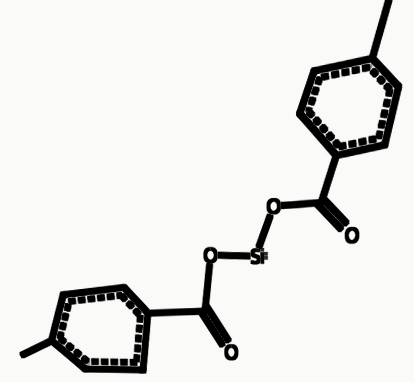 Cc1ccc(C(=O)O[Si]OC(=O)c2ccc(C)cc2)cc1